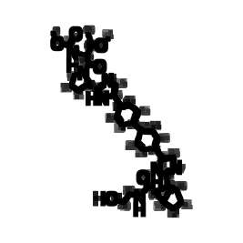 COC(=O)N[C@H](C(=O)N1CCC[C@H]1c1ncc(-c2ccc(-c3ccc(-c4cnc(C5C6CCC(C6)[C@@H]5C(=O)NCCO)[nH]4)cc3)cc2)[nH]1)[C@@H](C)OC